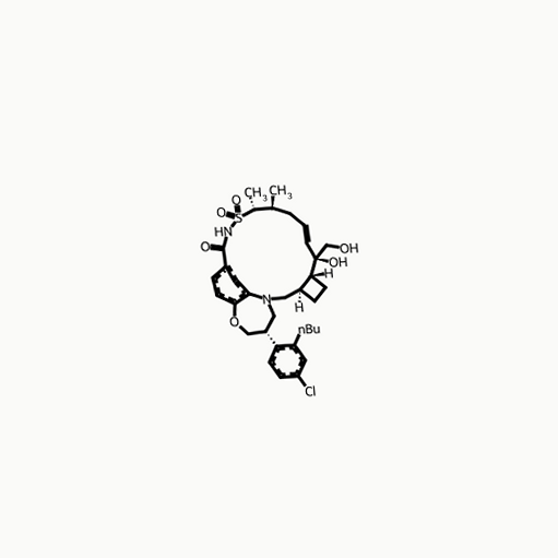 CCCCc1cc(Cl)ccc1[C@@H]1COc2ccc3cc2N(C1)C[C@@H]1CC[C@H]1[C@@](O)(CO)/C=C/C[C@H](C)[C@@H](C)S(=O)(=O)NC3=O